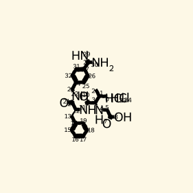 CC(C)[C@@H](NCC(=O)O)C(=O)N[C@@H](Cc1ccccc1)C(=O)NCc1ccc(C(=N)N)cc1.Cl.Cl